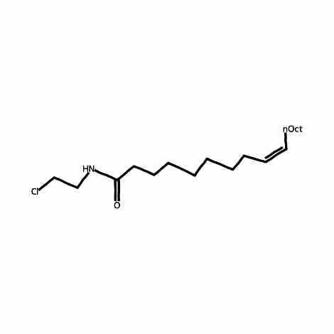 CCCCCCCC/C=C\CCCCCCCC(=O)NCCCl